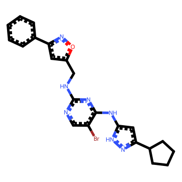 Brc1cnc(NCc2cc(-c3ccccc3)no2)nc1Nc1cc(C2CCCC2)n[nH]1